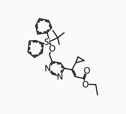 CCOC(=O)/C=C(/c1cc(CO[Si](c2ccccc2)(c2ccccc2)C(C)(C)C)ncn1)C1CC1